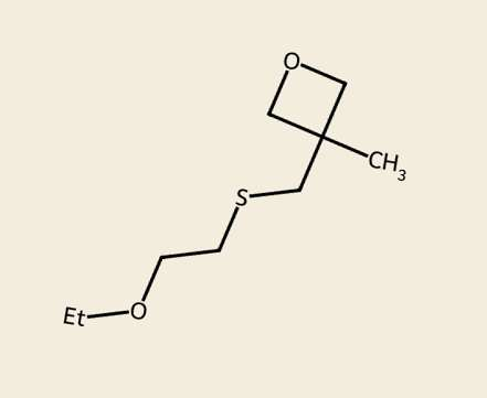 CCOCCSCC1(C)COC1